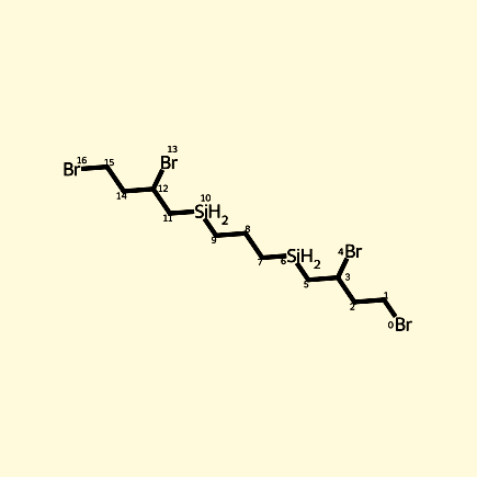 BrCCC(Br)C[SiH2]CCC[SiH2]CC(Br)CCBr